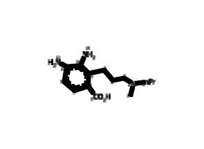 CCCN(C)CCCc1c(C(=O)O)ccc(N)c1N